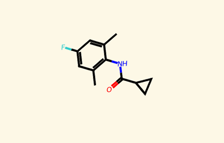 Cc1cc(F)cc(C)c1NC(=O)C1CC1